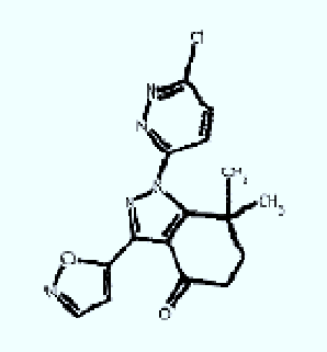 CC1(C)CCC(=O)c2c(-c3ccno3)nn(-c3ccc(Cl)nn3)c21